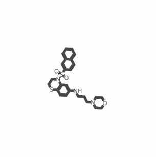 O=S(=O)(c1ccc2ccccc2c1)N1CCSc2ccc(NCCCN3CCOCC3)cc21